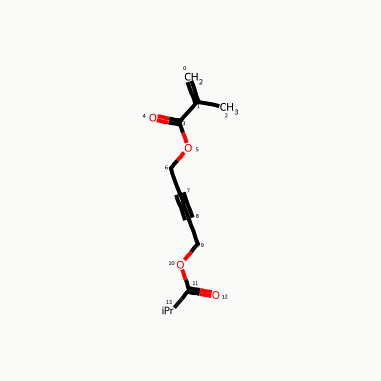 C=C(C)C(=O)OCC#CCOC(=O)C(C)C